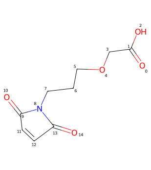 O=C(O)COCCCN1C(=O)C=CC1=O